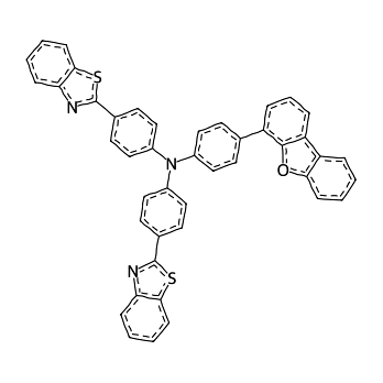 c1ccc2sc(-c3ccc(N(c4ccc(-c5nc6ccccc6s5)cc4)c4ccc(-c5cccc6c5oc5ccccc56)cc4)cc3)nc2c1